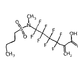 C=C(C(=O)O)C(F)(F)C(F)(F)C(F)(F)C(F)(F)N(C)S(=O)(=O)CCCC